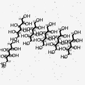 OC[C@@H](O)[C@@H](O)[C@H](O)[C@H](O)CO.OC[C@@H](O)[C@@H](O)[C@H](O)[C@H](O)CO.OC[C@@H](O)[C@@H](O)[C@H](O)[C@H](O)CO.OC[C@@H](O)[C@@H](O)[C@H](O)[C@H](O)CO.OC[C@@H](O)[C@@H](O)[C@H](O)[C@H](O)CO.OC[C@@H](O)[C@@H](O)[C@H](O)[C@H](O)CO.[Ar]